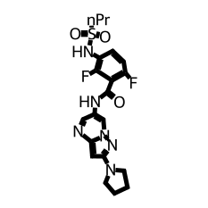 CCCS(=O)(=O)Nc1ccc(F)c(C(=O)Nc2cnc3cc(N4CCCC4)nn3c2)c1F